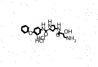 Cl.Cl.NC[C@H](O)C(=O)NC1CN[C@H](C(=O)Nc2ccc(Oc3ccccc3)cc2)C1